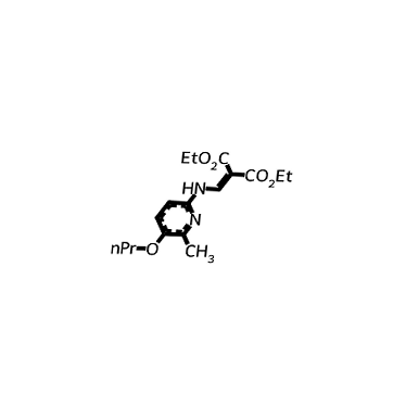 CCCOc1ccc(NC=C(C(=O)OCC)C(=O)OCC)nc1C